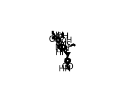 CCCSc1nc(NC2CC2c2ccc(S(=O)(=O)NC)cc2)c2nnn([C@H]3C[C@@H](C(=O)NCC)[C@H](O)[C@@H]3O)c2n1